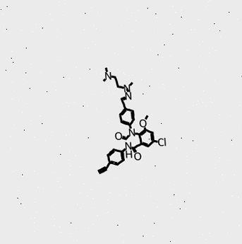 C#Cc1ccc(NC(=O)c2cc(Cl)cc(OC)c2N(C=O)c2ccc(C=NN(C)CCN(C)C)cc2)cc1